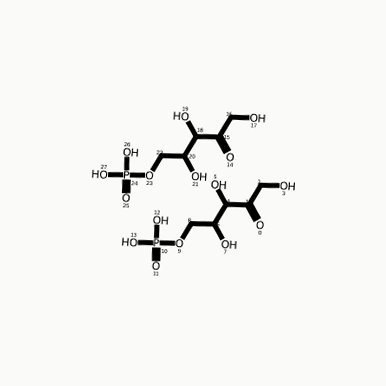 O=C(CO)C(O)C(O)COP(=O)(O)O.O=C(CO)C(O)C(O)COP(=O)(O)O